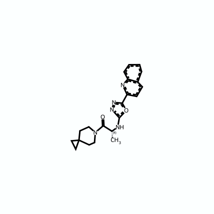 C[C@@H](Nc1nnc(-c2ccc3ccccc3n2)o1)C(=O)N1CCC2(CC1)CC2